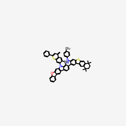 C=C1C=C(c2ccccc2)Sc2cc3c(cc21)Bc1c(-c2cc4c(cc2Nc2ccc(C(C)(C)C)cc2)sc2cc5c(cc24)C(C)(C)CCC5(C)C)ccc2c4cc5c(cc4n-3c12)oc1ccccc15